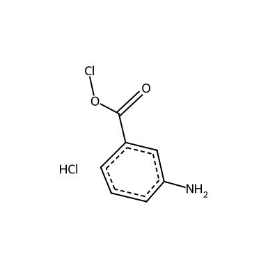 Cl.Nc1cccc(C(=O)OCl)c1